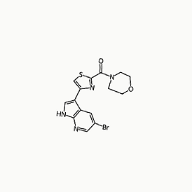 O=C(c1nc(-c2c[nH]c3ncc(Br)cc23)cs1)N1CCOCC1